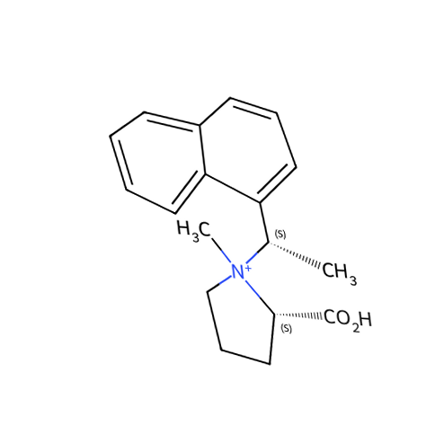 C[C@@H](c1cccc2ccccc12)[N+]1(C)CCC[C@H]1C(=O)O